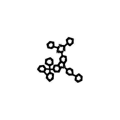 c1ccc(-c2ccc(-n3c4ccc(-c5nc(-c6ccccc6)nc(-c6ccccc6)n5)cc4c4cc(C5(c6ccccc6)c6ccccc6-c6ccccc65)ccc43)cc2)cc1